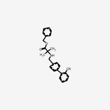 CC(C)(NCc1ccc(-c2ccccc2C#N)cc1)C(=O)OCc1ccccc1